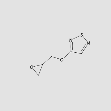 c1nsnc1OCC1CO1